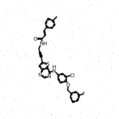 Cc1ccc(C=CC(=O)NCC#Cc2cc3ncnc(Nc4ccc(OCc5cccc(F)c5)c(Cl)c4)c3s2)cc1